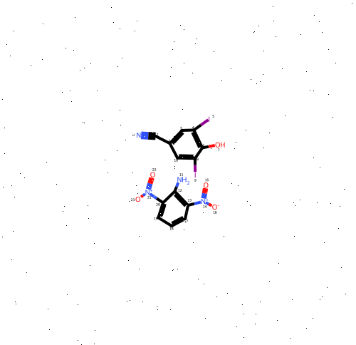 N#Cc1cc(I)c(O)c(I)c1.Nc1c([N+](=O)[O-])cccc1[N+](=O)[O-]